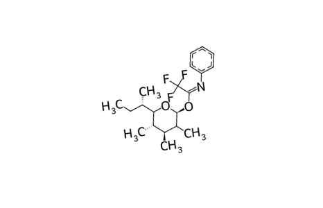 CC[C@H](C)C1O[C@@H](O/C(=N/c2ccccc2)C(F)(F)F)C(C)[C@@H](C)[C@@H]1C